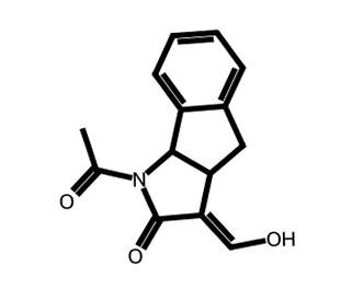 CC(=O)N1C(=O)/C(=C/O)C2Cc3ccccc3C21